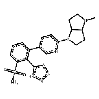 CN1CCC2C1CCN2c1ccc(-c2cccc(S(N)(=O)=O)c2-c2nnn[nH]2)cn1